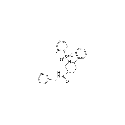 Cc1ccccc1S(=O)(=O)N1CC(C(=O)NCc2ccccc2)CCC1c1ccccc1